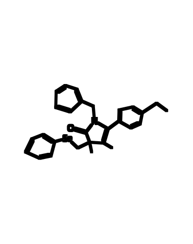 CCc1ccc(C2=C(C)C(C)(C[Se]c3ccccc3)C(=O)N2Cc2ccccc2)cc1